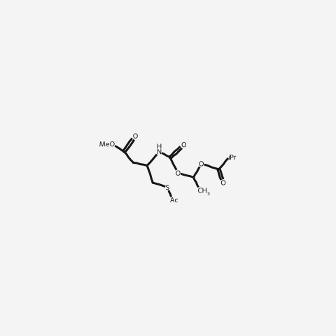 COC(=O)CC(CSC(C)=O)NC(=O)OC(C)OC(=O)C(C)C